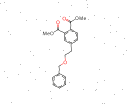 COC(=O)c1ccc(CCOCc2ccccc2)cc1C(=O)OC